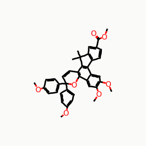 COC(=O)c1ccc2c(c1)C(C)(C)c1c3c(c4cc(OC)c(OC)cc4c1-2)OC(c1ccc(OC)cc1)(c1ccc(OC)cc1)C=C3